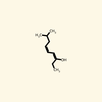 CC/C(O)=C\C=C/CC(C)C